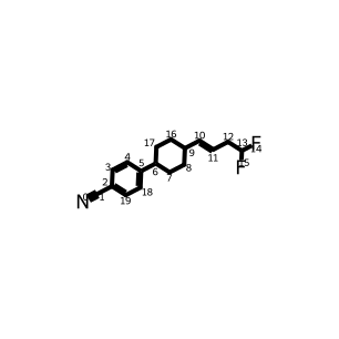 N#Cc1ccc(C2CCC(/C=C/CC(F)F)CC2)cc1